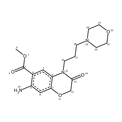 COC(=O)c1cc2c(cc1N)OCC(=O)N2CCCN1CCOCC1